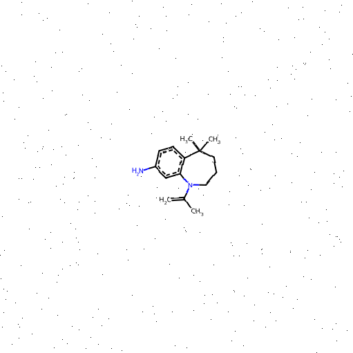 C=C(C)N1CCCC(C)(C)c2ccc(N)cc21